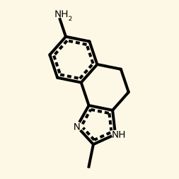 Cc1nc2c([nH]1)CCc1cc(N)ccc1-2